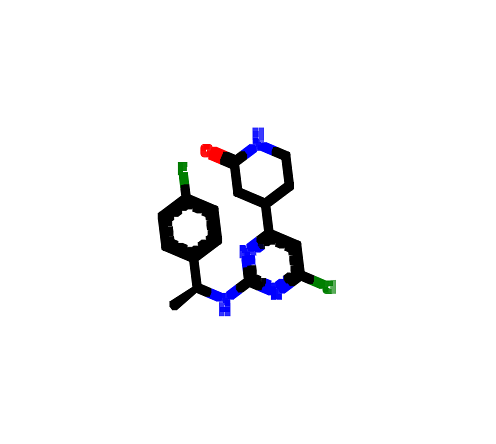 C[C@H](Nc1nc(Cl)cc(C2CCNC(=O)C2)n1)c1ccc(F)cc1